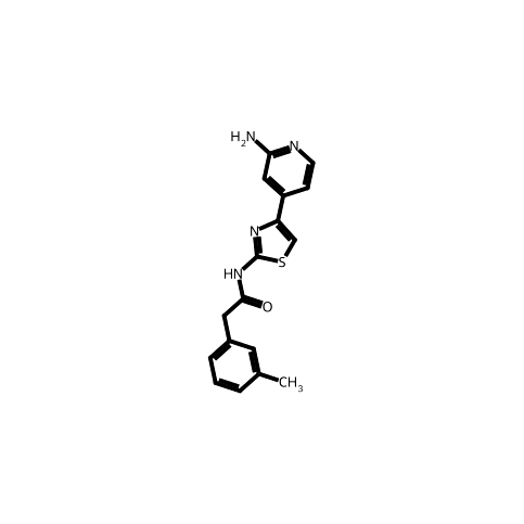 Cc1cccc(CC(=O)Nc2nc(-c3ccnc(N)c3)cs2)c1